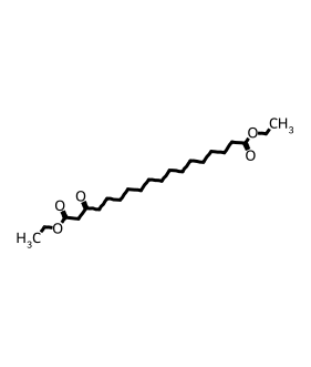 CCOC(=O)CCCCCCCCCCCCCCC(=O)CC(=O)OCC